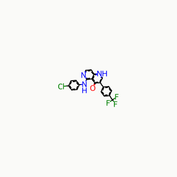 O=c1c(-c2ccc(C(F)(F)F)cc2)c[nH]c2ccnc(Nc3ccc(Cl)cc3)c12